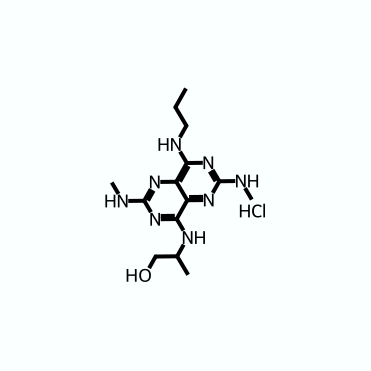 CCCNc1nc(NC)nc2c(NC(C)CO)nc(NC)nc12.Cl